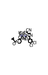 C/N=C(\N=C(/C)n1c([C@H](C)C#N)cnc1C1CCC(Cl)C(Cl)C1)N[C@]1(C)CCCN(C(=O)C2CC2)C1